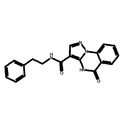 O=C(NCCc1ccccc1)c1cnn2c1[nH]c(=O)c1ccccc12